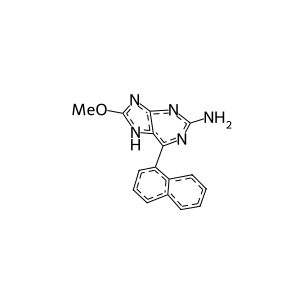 COc1nc2nc(N)nc(-c3cccc4ccccc34)c2[nH]1